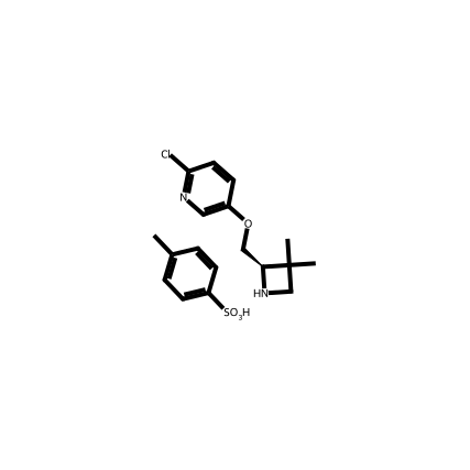 CC1(C)CN[C@H]1COc1ccc(Cl)nc1.Cc1ccc(S(=O)(=O)O)cc1